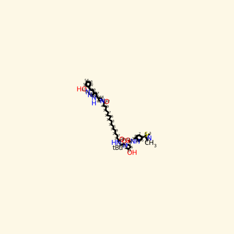 Cc1ncsc1-c1ccc(CNC(=O)[C@@H]2C[C@@H](O)CN2C(=O)[C@@H](NC(=O)CCCCCCCCCCCCCCCC(=O)N2CC(c3cc4cc(-c5ccccc5O)nnc4[nH]3)C2)C(C)(C)C)cc1